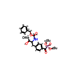 COC(=O)C(Cc1ccc(C(=O)P(=O)(OC(C)(C)C)OC(C)(C)C)cc1)NC(=O)OCc1ccccc1